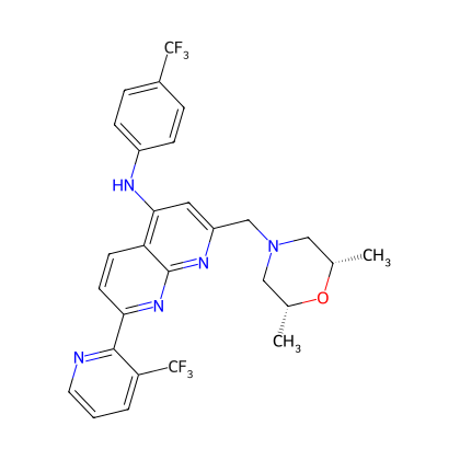 C[C@@H]1CN(Cc2cc(Nc3ccc(C(F)(F)F)cc3)c3ccc(-c4ncccc4C(F)(F)F)nc3n2)C[C@H](C)O1